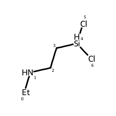 CCNCC[SiH](Cl)Cl